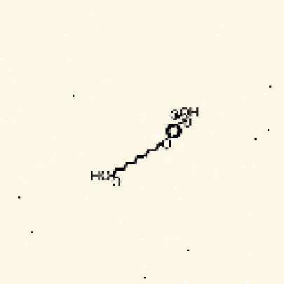 O=C(O)CCCCCCCCCOc1ccc(S(=O)(=O)O)cc1